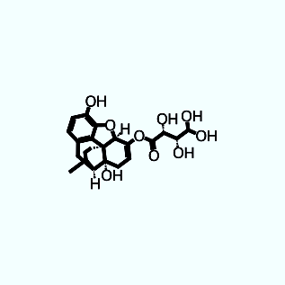 CC1CC[C@]23c4c5ccc(O)c4O[C@H]2C(OC(=O)[C@H](O)[C@@H](O)C(O)O)=CC[C@@]3(O)[C@H]1C5